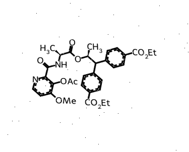 CCOC(=O)c1ccc(C(c2ccc(C(=O)OCC)cc2)[C@H](C)OC(=O)[C@H](C)NC(=O)c2nccc(OC)c2OC(C)=O)cc1